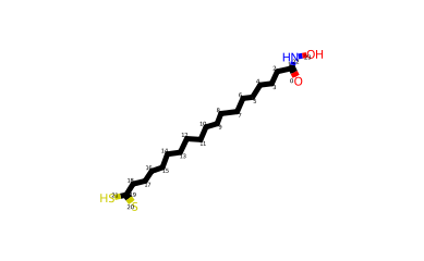 O=C(CCCCCCCCCCCCCCCCCC(=S)S)NO